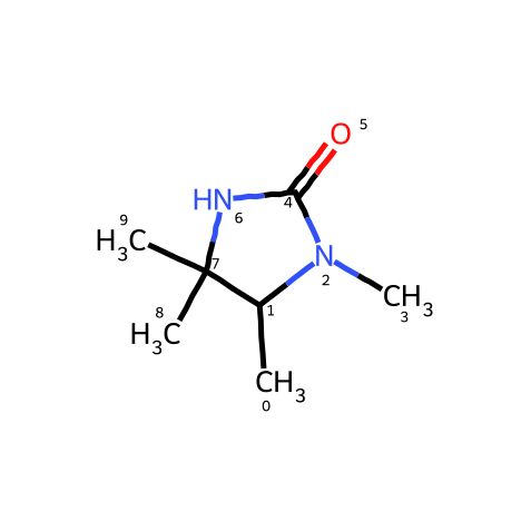 CC1N(C)C(=O)NC1(C)C